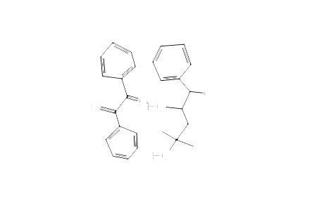 CC(C)(O)CC(O)C(O)c1ccccc1.O=C(C(=O)c1ccccc1)c1ccccc1